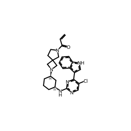 C=CC(=O)N1CCC2(C1)CN([C@@H]1CCC[C@H](Nc3ncc(Cl)c(-c4c[nH]c5ccccc45)n3)C1)C2